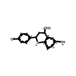 O=CC1CC(c2ccc(Cl)cc2)Oc2ccc(O)cc21